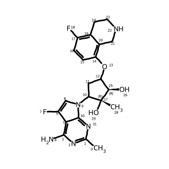 Cc1nc(N)c2c(F)cn(C3CC(Oc4ccc(F)c5c4CNCC5)[C@@H](O)[C@]3(C)O)c2n1